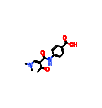 CC(=O)C(=CN(C)C)C(=O)Nc1ccc(C(=O)O)cc1